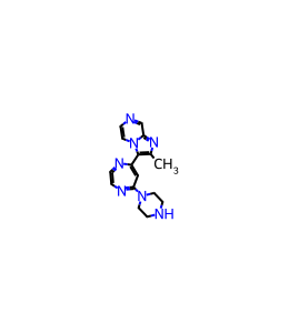 Cc1nc2cnccn2c1C1=CC(N2CCNCC2)=NC=C=N1